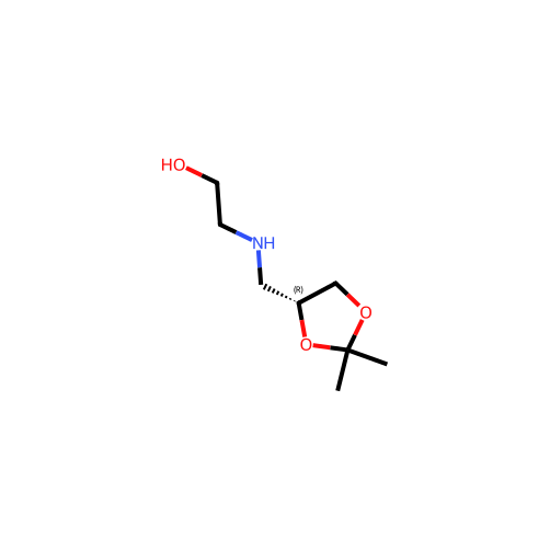 CC1(C)OC[C@@H](CNCCO)O1